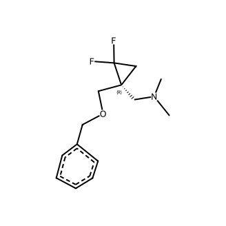 CN(C)C[C@@]1(COCc2ccccc2)CC1(F)F